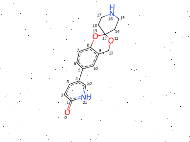 O=c1ccc(-c2ccc3c(c2)COC2(CCNCC2)O3)c[nH]1